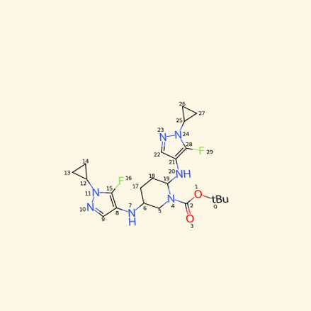 CC(C)(C)OC(=O)N1CC(Nc2cnn(C3CC3)c2F)CCC1Nc1cnn(C2CC2)c1F